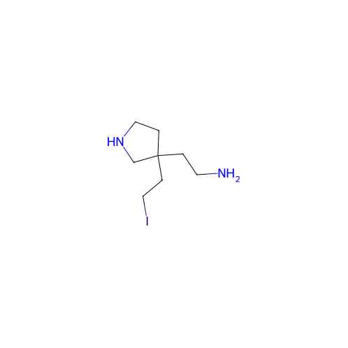 NCCC1(CCI)CCNC1